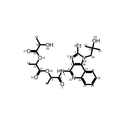 CCc1nc2c(NC(=O)C(C)OC(=O)C(C)OC(=O)C(C)O)nc3ccccc3c2n1CC(C)(C)O